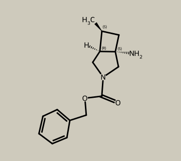 C[C@H]1C[C@@]2(N)CN(C(=O)OCc3ccccc3)C[C@@H]12